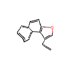 C=Cc1coc2ccc3ccccc3c12